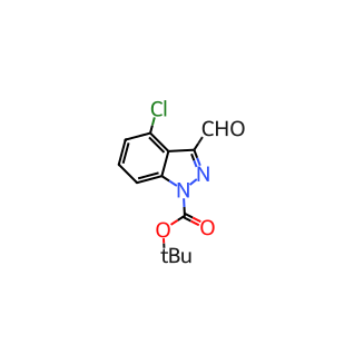 CC(C)(C)OC(=O)n1nc(C=O)c2c(Cl)cccc21